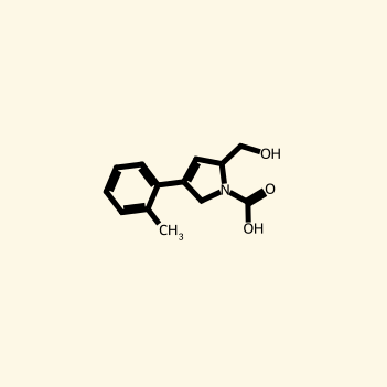 Cc1ccccc1C1=CC(CO)N(C(=O)O)C1